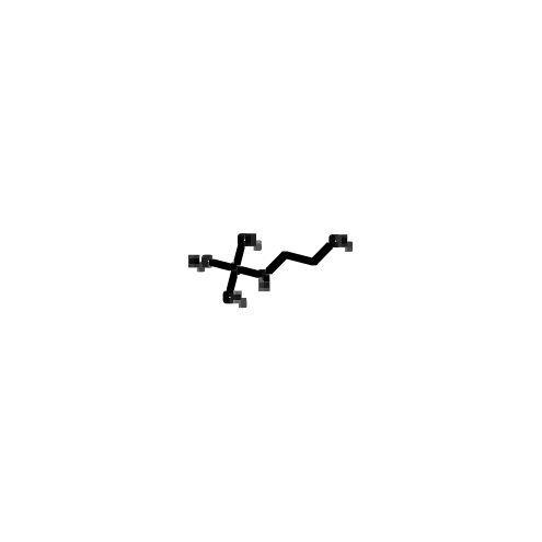 CCCNS(C)(C)C